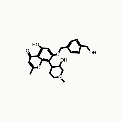 Cc1cc(=O)c2c(O)cc(OCc3ccc(CO)cc3)c(C3CCN(C)CC3O)c2o1